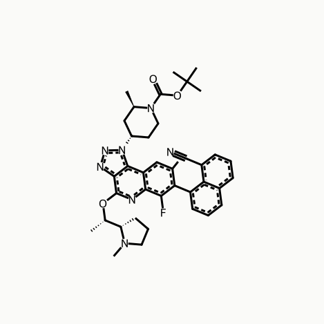 Cc1cc2c(nc(O[C@@H](C)[C@@H]3CCCN3C)c3nnn([C@H]4CCN(C(=O)OC(C)(C)C)[C@H](C)C4)c32)c(F)c1-c1cccc2cccc(C#N)c12